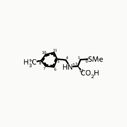 CSC[C@H](NCc1ccc(C)cc1)C(=O)O